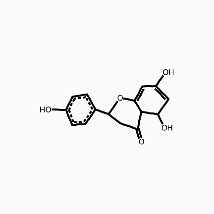 O=C1CC(c2ccc(O)cc2)OC2=CC(O)=CC(O)C12